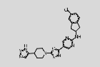 Clc1ccc2c(c1)CC(Nc1ncc(-c3nnc(N4CCC(c5cnn[nH]5)CC4)o3)cn1)C2